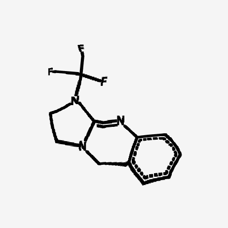 FC(F)(F)N1CCN2Cc3ccccc3N=C21